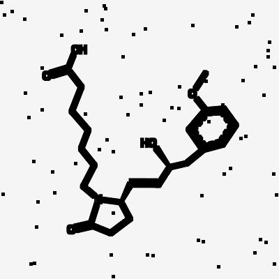 COc1cccc(C[C@H](O)/C=C/[C@H]2CCC(=O)N2CCCCCCC(=O)O)c1